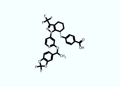 CC(Oc1cc(-n2nc(C(F)(F)F)c3c2[C@@H](Sc2ccc(C(=O)O)cc2)CCC3)ccn1)c1ccc2c(c1)OC(F)(F)O2